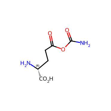 NC(=O)OC(=O)CC[C@@H](N)C(=O)O